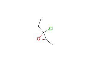 CCC1(Cl)OC1C